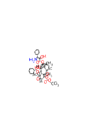 CC(=O)O[C@@]12CO[C@@H]1C[C@H](OC(=O)OCC(Cl)(Cl)Cl)[C@@]1(C)C(=O)[C@H](C(C)=O)C3=C(C)[C@@H](OC(=O)[C@H](O)[C@@H](N)c4ccccc4)C[C@@](O)([C@@H](OC(=O)c4ccccc4)C12)C3(C)C